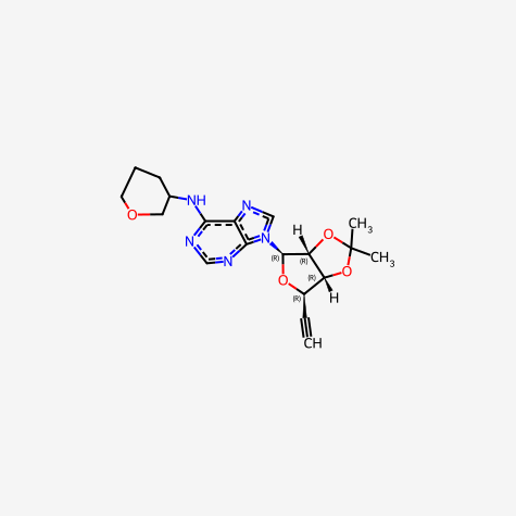 C#C[C@H]1O[C@@H](n2cnc3c(NC4CCCOC4)ncnc32)[C@@H]2OC(C)(C)O[C@@H]21